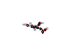 Cc1cc(S(=O)(=O)NC(=O)c2ccc(N3CCN(CC4=C(c5ccc(Cl)cc5)CC(C)(C)CC4)CC3)cc2Oc2ccc3[nH]ccc3c2)ccc1NC[C@H]1CC[C@H](O)CC1